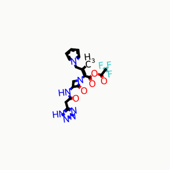 CC(C[n+]1ccccc1)=C(C(=O)OC(=O)C(F)(F)F)N1CC(NC(=O)Cc2nnn[nH]2)C1=O